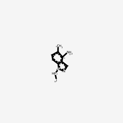 Cc1ccc2c(cnn2PI)c1N